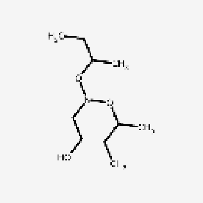 CCC(C)ON(CCO)OC(C)CC